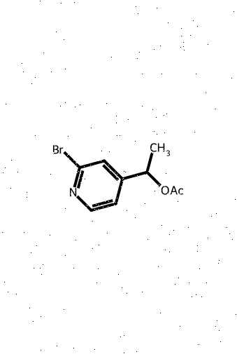 CC(=O)OC(C)c1ccnc(Br)c1